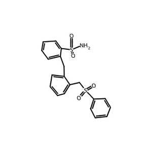 NS(=O)(=O)c1ccccc1Cc1ccccc1CS(=O)(=O)c1ccccc1